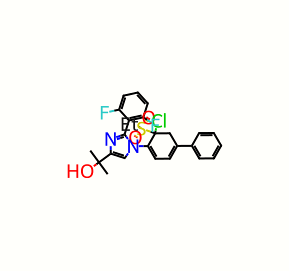 CCS(=O)(=O)C1(Cl)CC(c2ccccc2)=CC=C1n1cc(C(C)(C)O)nc1-c1c(F)cccc1F